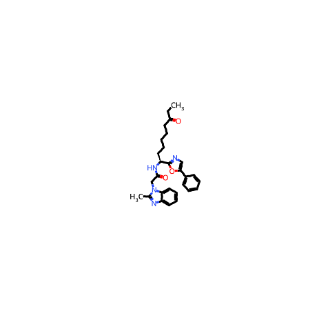 CCC(=O)CCCCC[C@H](NC(=O)Cn1c(C)nc2ccccc21)c1ncc(-c2ccccc2)o1